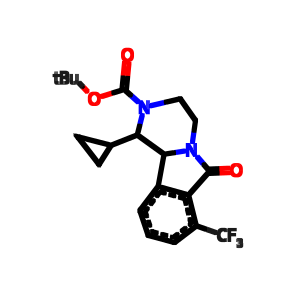 CC(C)(C)OC(=O)N1CCN2C(=O)c3c(cccc3C(F)(F)F)C2C1C1CC1